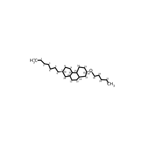 CCCCCCC[C@H]1CCC2C(CCC3C[C@@H](OCCCCC)CCC32)C1